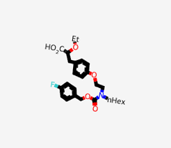 CCCCCCN(CCOc1ccc(CC(OCC)C(=O)O)cc1)C(=O)OCc1ccc(F)cc1